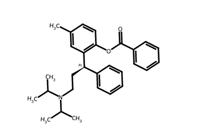 Cc1ccc(OC(=O)c2ccccc2)c([C@H](CCN(C(C)C)C(C)C)c2ccccc2)c1